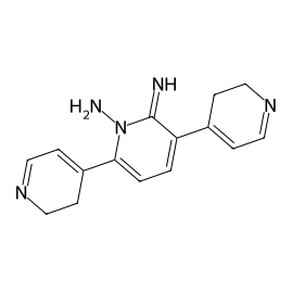 N=c1c(C2=CC=NCC2)ccc(C2=CC=NCC2)n1N